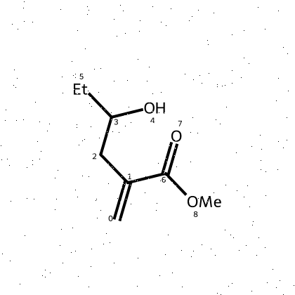 C=C(CC(O)CC)C(=O)OC